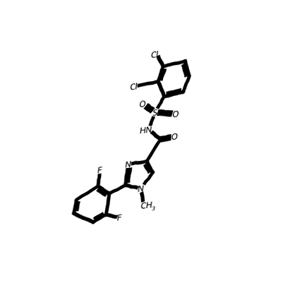 Cn1cc(C(=O)NS(=O)(=O)c2cccc(Cl)c2Cl)nc1-c1c(F)cccc1F